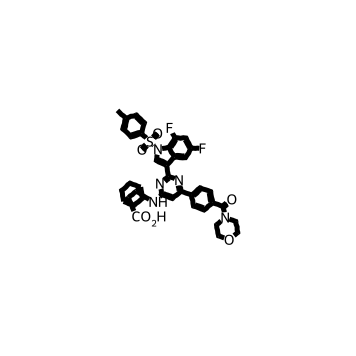 Cc1ccc(S(=O)(=O)n2cc(-c3nc(NC4C5CCC(CC5)C4C(=O)O)cc(-c4ccc(C(=O)N5CCOCC5)cc4)n3)c3cc(F)cc(F)c32)cc1